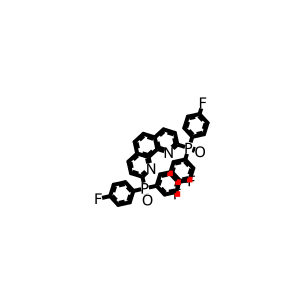 O=P(c1ccc(F)cc1)(c1ccc(F)cc1)c1ccc2ccc3ccc(P(=O)(c4ccc(F)cc4)c4ccc(F)cc4)nc3c2n1